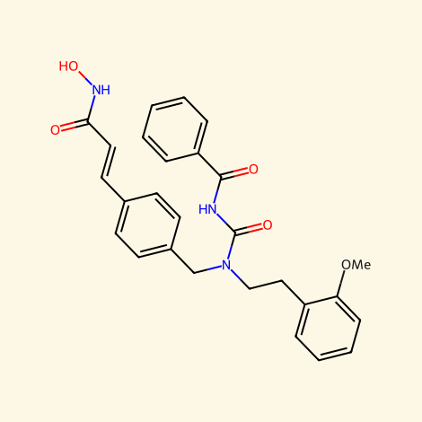 COc1ccccc1CCN(Cc1ccc(C=CC(=O)NO)cc1)C(=O)NC(=O)c1ccccc1